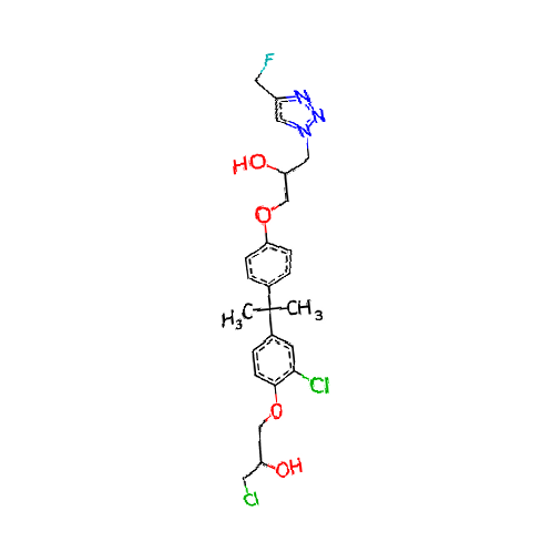 CC(C)(c1ccc(OCC(O)Cn2cc(CF)nn2)cc1)c1ccc(OCC(O)CCl)c(Cl)c1